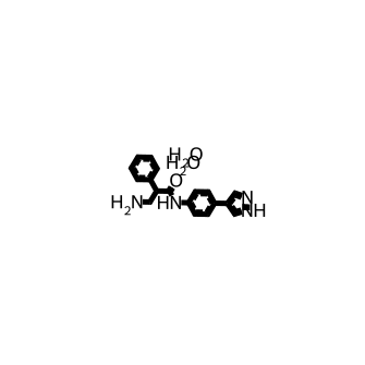 NCC(C(=O)Nc1ccc(-c2cn[nH]c2)cc1)c1ccccc1.O.O